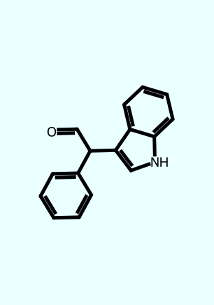 O=CC(c1ccccc1)c1c[nH]c2ccccc12